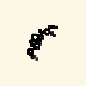 COCCN(CP)C(=O)c1n[nH]c2c1CCCc1cnc(Nc3cccc(C(F)(F)F)c3)nc1-2